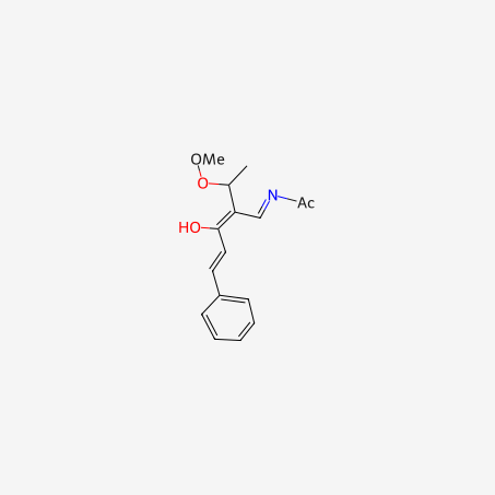 COOC(C)/C(C=NC(C)=O)=C(\O)C=Cc1ccccc1